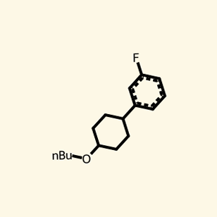 CCCCOC1CCC(c2cccc(F)c2)CC1